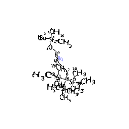 CC(C)(C)[Si](C)(C)O/C=C/CC([Si](C)(C)C)([Si](C)(C)C)[Si](C)(C)C